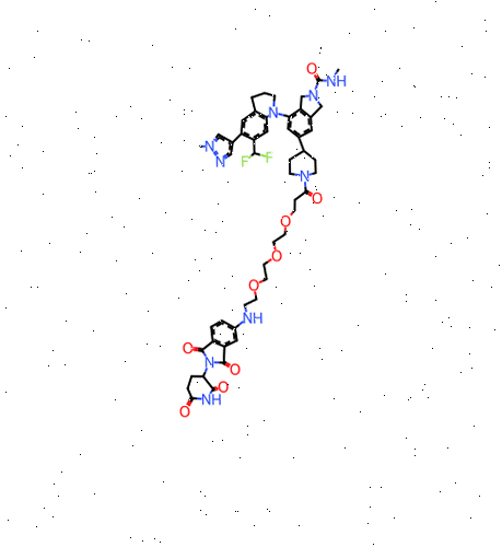 CNC(=O)N1Cc2cc(C3CCN(C(=O)CCOCCOCCOCCNc4ccc5c(c4)C(=O)N(C4CCC(=O)NC4=O)C5=O)CC3)cc(N3CCCc4cc(-c5cnn(C)c5)c(C(F)F)cc43)c2C1